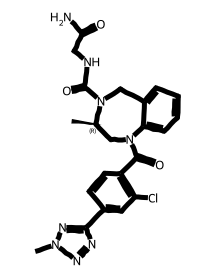 C[C@@H]1CN(C(=O)c2ccc(-c3nnn(C)n3)cc2Cl)c2ccccc2CN1C(=O)NCC(N)=O